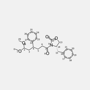 COC(CC(CCC(=O)N1C(=O)OC[C@@H]1Cc1ccccc1)c1ccccc1)OC